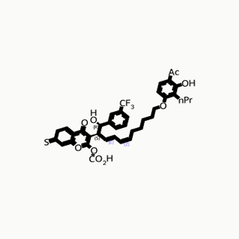 CCCc1c(OCCCCC/C=C\C=C\[C@@H](c2c(OC(=O)O)oc3c(c2=O)=CCC(=S)C=3)[C@@H](O)c2cccc(C(F)(F)F)c2)ccc(C(C)=O)c1O